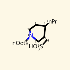 CCCCCCCCN1CCC(CCC)CC1.CS(=O)(=O)O